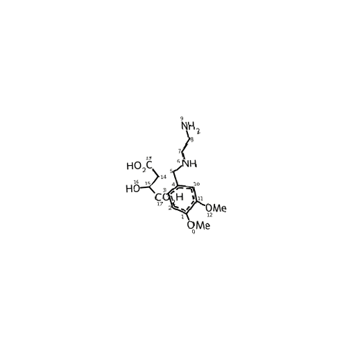 COc1ccc(CNCCN)cc1OC.O=C(O)CC(O)C(=O)O